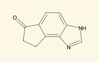 O=C1CCc2c1ccc1[nH]cnc21